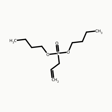 C=CCP(=O)(OCCCC)OCCCC